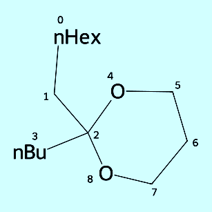 CCCCCCCC1(CCCC)OCCCO1